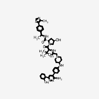 Cc1ncsc1-c1ccc(C(C)NC(=O)[C@@H]2C[C@@H](O)CN2C(=O)C(NC(=O)CN2CCC(Nc3ccc(-c4cc(-c5ccccc5O)nnc4N)cc3)CC2)C(C)(C)C)cc1